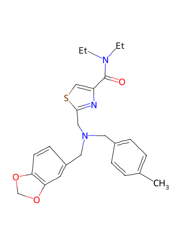 CCN(CC)C(=O)c1csc(CN(Cc2ccc(C)cc2)Cc2ccc3c(c2)OCO3)n1